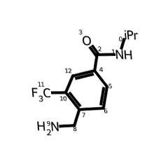 CC(C)NC(=O)c1ccc(CN)c(C(F)(F)F)c1